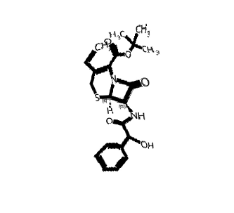 C=CC1=C(C(=O)OC(C)(C)C)N2C(=O)[C@@H](NC(=O)C(O)c3ccccc3)[C@H]2SC1